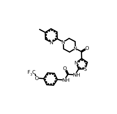 Cc1ccc(N2CCN(C(=O)c3csc(NC(=O)Nc4ccc(OC(F)(F)F)cc4)n3)CC2)nc1